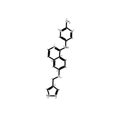 Cc1ncc(Nc2nccc3cc(OCc4cn[nH]c4)ccc23)cn1